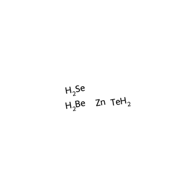 [BeH2].[SeH2].[TeH2].[Zn]